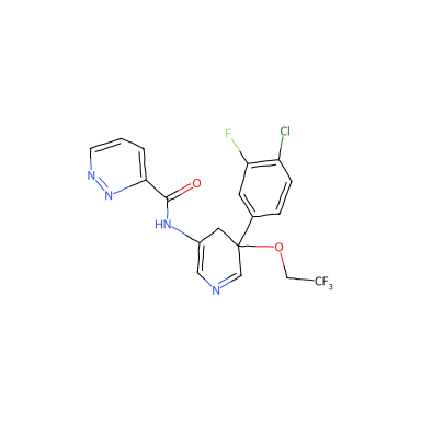 O=C(NC1=CN=CC(OCC(F)(F)F)(c2ccc(Cl)c(F)c2)C1)c1cccnn1